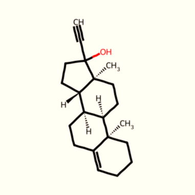 C#CC1(O)CC[C@H]2[C@@H]3CCC4=CCCC[C@]4(C)[C@@H]3CC[C@@]21C